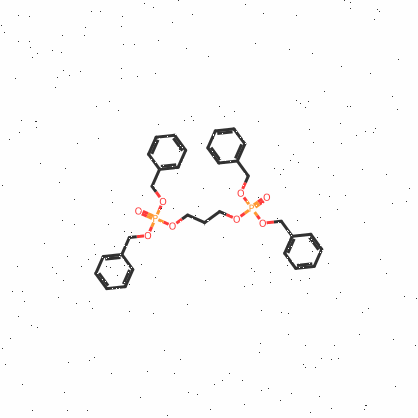 O=P(OC[CH]COP(=O)(OCc1ccccc1)OCc1ccccc1)(OCc1ccccc1)OCc1ccccc1